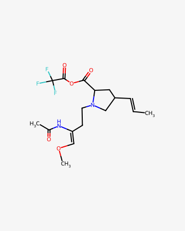 CC=CC1CC(C(=O)OC(=O)C(F)(F)F)N(CCC(=COC)NC(C)=O)C1